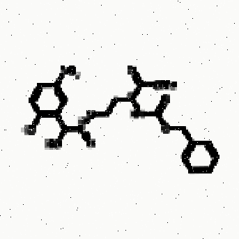 COC(=O)[C@H](CCO[PH](=O)C(O)c1cc([N+](=O)[O-])ccc1O)NC(=O)OCc1ccccc1